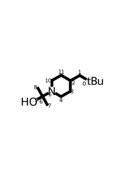 CC(C)(C)CC1CCN(C(C)(C)O)CC1